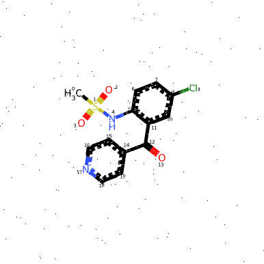 CS(=O)(=O)Nc1ccc(Cl)cc1C(=O)c1ccncc1